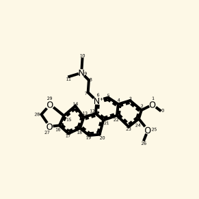 COc1cc2c[n+](CCN(C)C)c3c4cc5c(cc4ccc3c2cc1OC)OCO5